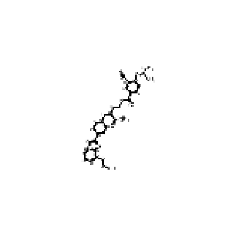 CC(C)Oc1ccc(C(=O)NCCC(Cc2ccc(-c3cn4cccc(CCO)c4n3)cc2)C(N)=O)cc1C#N